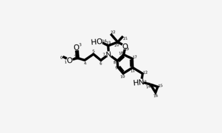 COC(=O)CCCN1c2ccc(CNC3CC3)cc2OC(C)(C)C1O